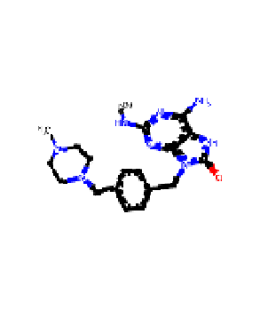 CCCCNc1nc(N)c2[nH]c(=O)n(Cc3ccc(CN4CCN(C)CC4)cc3)c2n1